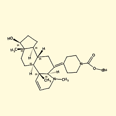 CN1CC=C[C@]2(C)[C@H]3CC[C@]4(C)[C@@H](O)CC[C@H]4[C@@H]3CC(=C3CCN(C(=O)OC(C)(C)C)CC3)[C@@H]12